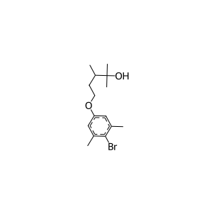 Cc1cc(OCCC(C)C(C)(C)O)cc(C)c1Br